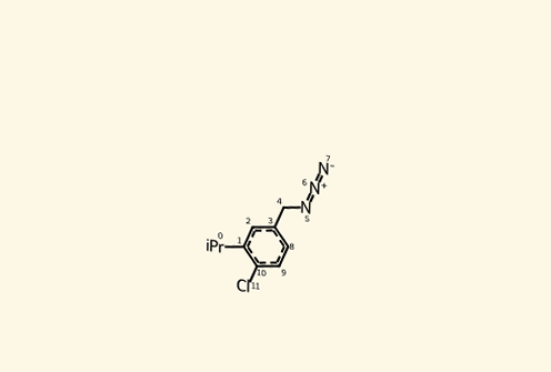 CC(C)c1cc(CN=[N+]=[N-])ccc1Cl